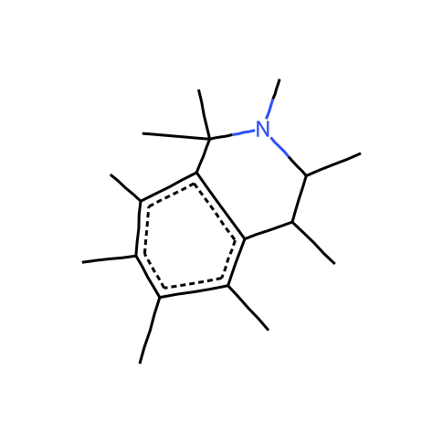 Cc1c(C)c(C)c2c(c1C)C(C)C(C)N(C)C2(C)C